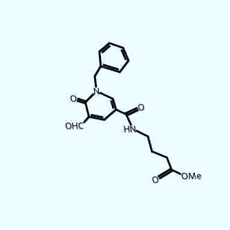 COC(=O)CCCNC(=O)c1cc(C=O)c(=O)n(Cc2ccccc2)c1